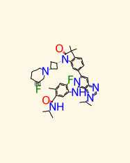 Cc1cc(F)c(Nc2nc(-c3ccc4c(c3)N([C@H]3C[C@@H](N5CCC[C@@H](F)C5)C3)C(=O)C4(C)C)cc3ncn(C(C)C)c23)cc1C(=O)NC(C)C